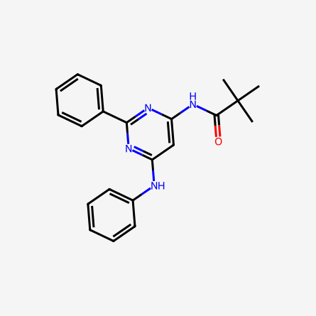 CC(C)(C)C(=O)Nc1cc(Nc2ccccc2)nc(-c2ccccc2)n1